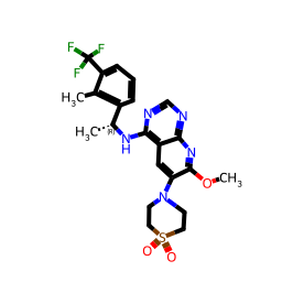 COc1nc2ncnc(N[C@H](C)c3cccc(C(F)(F)F)c3C)c2cc1N1CCS(=O)(=O)CC1